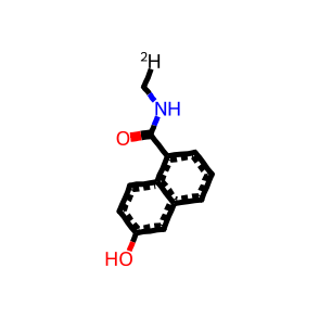 [2H]CNC(=O)c1cccc2cc(O)ccc12